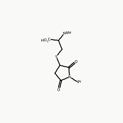 CNC(CSC1CC(=O)N(C(C)C)C1=O)C(=O)O